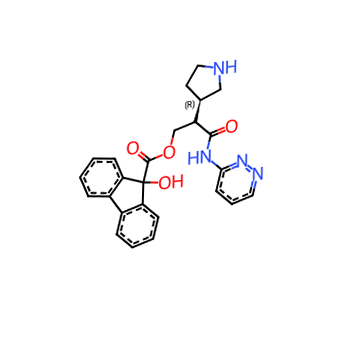 O=C(Nc1cccnn1)C(COC(=O)C1(O)c2ccccc2-c2ccccc21)[C@H]1CCNC1